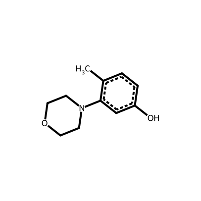 Cc1ccc(O)cc1N1CCOCC1